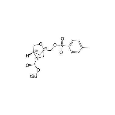 Cc1ccc(S(=O)(=O)OC[C@@]23C[C@@H](CO2)N(C(=O)OC(C)(C)C)C3)cc1